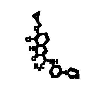 C[C@H](Nc1cccc(-n2ccnc2)c1)c1cc2ccc(OCC3CC3)c(Cl)c2[nH]c1=O